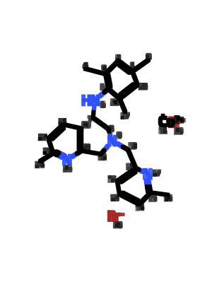 Cc1cc(C)c(NCCN(Cc2cccc(C)n2)Cc2cccc(C)n2)c(C)c1.[Br-].[Br-].[Co+2]